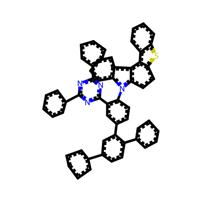 c1ccc(-c2ccc(-c3ccccc3)c(-c3ccc(-n4c5ccccc5c5c6c(ccc54)sc4ccccc46)c(-c4nc(-c5ccccc5)nc(-c5ccccc5)n4)c3)c2)cc1